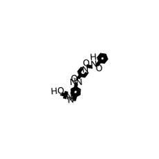 CC(C)(CO)n1ncc2ccc(-c3noc(C4CCN(C(=O)CNC(=O)c5ccccc5)CC4)n3)cc21